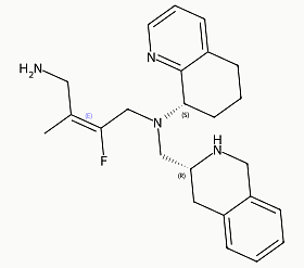 C/C(CN)=C(\F)CN(C[C@H]1Cc2ccccc2CN1)[C@H]1CCCc2cccnc21